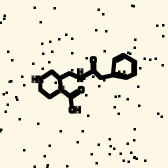 O=C(Cc1ccccc1)NCC1CNCCN1C(=O)O